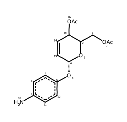 CC(=O)OCC1O[C@H](Oc2ccc(N)cc2)C=CC1OC(C)=O